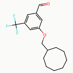 O=Cc1cc(OCC2CCCCCCC2)cc(C(F)(F)F)c1